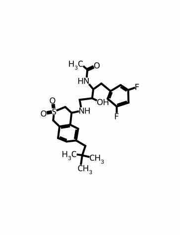 CC(=O)NC(Cc1cc(F)cc(F)c1)C(O)CNC1CS(=O)(=O)Cc2ccc(CC(C)(C)C)cc21